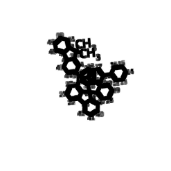 CC1(C)C2=CC(N(c3ccc(-c4ccccc4)cc3)c3cccc4c3C3(c5ccccc5-c5ccccc53)c3ccccc3-4)=CCC2c2ccccc21